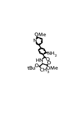 COC(=O)[C@@H](NC(=O)c1ccc(-c2ccc(OC)nc2)cc1N)C(C)OC(C)(C)C